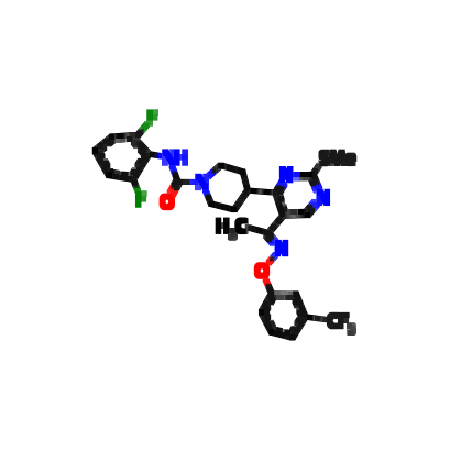 CSc1ncc(C(C)=NOc2cccc(C(F)(F)F)c2)c(C2CCN(C(=O)Nc3c(F)cccc3F)CC2)n1